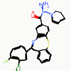 NN(C(=O)c1ccc2c(c1)N=C(c1ccc(F)c(Cl)c1)c1ccccc1S2)N1CCCCC1